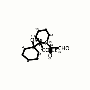 CCOC(=O)C1(C2(OC)CCCCC2)CCCCN1C(=O)C=O